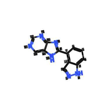 [c]1n[nH]c2cccc(-c3nc4ncncc4[nH]3)c12